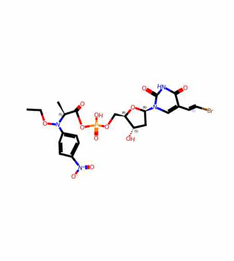 CCON(c1ccc([N+](=O)[O-])cc1)[C@@H](C)C(=O)OP(=O)(O)OC[C@H]1O[C@@H](n2cc(/C=C/Br)c(=O)[nH]c2=O)C[C@@H]1O